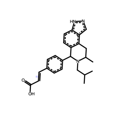 CC(C)CN1C(C)Cc2c(ccc3[nH]ncc23)C1c1ccc(/C=C/C(=O)O)cc1